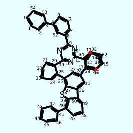 c1ccc(-c2cccc(-c3nc(-c4ccccc4)nc(-c4ccccc4-c4cc(-c5ccccc5)cc5c4sc4c(-c6ccccc6)cccc45)n3)c2)cc1